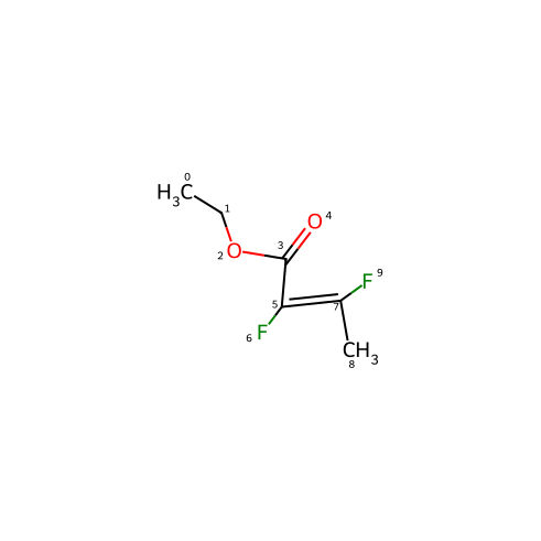 CCOC(=O)C(F)=C(C)F